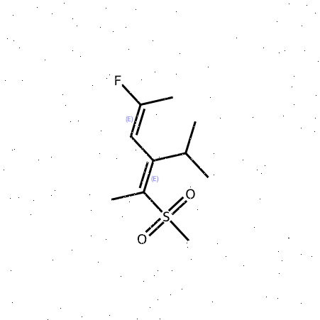 C/C(F)=C\C(=C(/C)S(C)(=O)=O)C(C)C